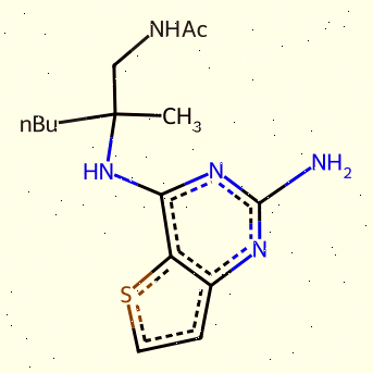 CCCCC(C)(CNC(C)=O)Nc1nc(N)nc2ccsc12